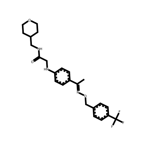 C/C(=N\OCc1ccc(C(F)(F)F)cc1)c1ccc(NCC(=O)NCC2CCOCC2)cc1